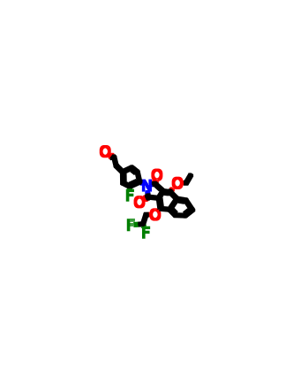 CCOc1c2c(c(OCC(F)F)c3ccccc13)C(=O)N(c1ccc(CC=O)cc1F)C2=O